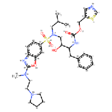 CC(C)CN(CC(O)C(Cc1ccccc1)NC(=O)OCc1cncs1)S(=O)(=O)c1ccc2nc(N(C)CCN3CCCC3)oc2c1